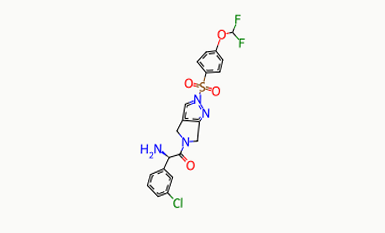 N[C@@H](C(=O)N1Cc2cn(S(=O)(=O)c3ccc(OC(F)F)cc3)nc2C1)c1cccc(Cl)c1